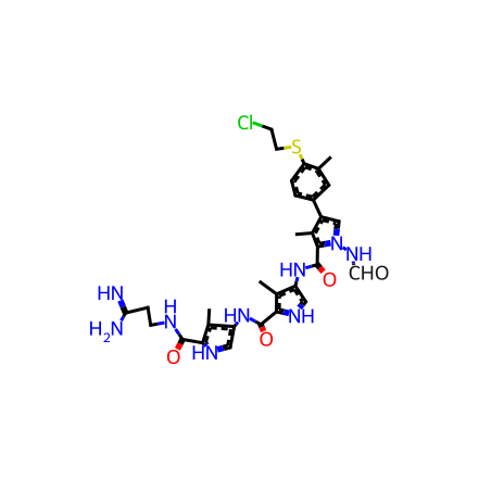 Cc1cc(-c2cn(NC=O)c(C(=O)Nc3c[nH]c(C(=O)Nc4c[nH]c(C(=O)NCCC(=N)N)c4C)c3C)c2C)ccc1SCCCl